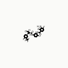 Nc1c(F)ccc(C(=O)Nc2cc(NC(=O)[C@H]3[C@H](c4ccc(F)c(C(F)(F)F)c4)C3(Cl)Cl)ccc2Cl)c1F